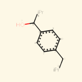 CC(C)Cc1ccc(C(O)C(C)C)cc1